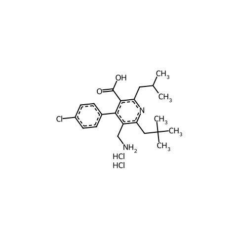 CC(C)Cc1nc(CC(C)(C)C)c(CN)c(-c2ccc(Cl)cc2)c1C(=O)O.Cl.Cl